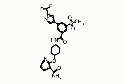 CS(=O)(=O)c1cc(C(=O)N[C@H]2CC[C@H](Oc3ncccc3C(N)=O)CC2)cc(-c2cnn(C(F)F)c2)c1